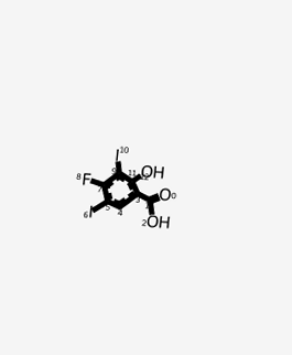 O=C(O)c1cc(I)c(F)c(I)c1O